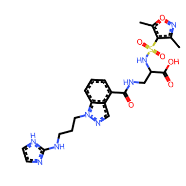 Cc1noc(C)c1S(=O)(=O)NC(CNC(=O)c1cccc2c1cnn2CCCNc1ncc[nH]1)C(=O)O